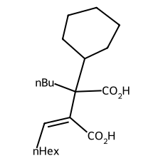 CCCCCCC=C(C(=O)O)C(CCCC)(C(=O)O)C1CCCCC1